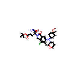 COC1(C)CCC(N[C@H]2CCCO[C@@H]2Cc2ccc3c(c2F)CN([C@@H](CCC(=O)OC(C)(C)C)C(N)=O)C3=O)CC1